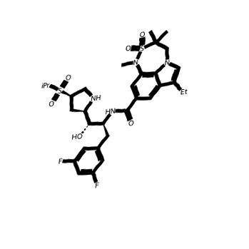 CCc1cn2c3c(cc(C(=O)N[C@@H](Cc4cc(F)cc(F)c4)[C@H](O)[C@H]4C[C@@H](S(=O)(=O)C(C)C)CN4)cc13)N(C)S(=O)(=O)C(C)(C)C2